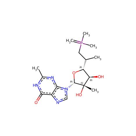 C=P(C)(C)CC(C)[C@H]1O[C@@H](n2cnc3c(=O)[nH]c(C)nc32)[C@@](C)(O)[C@@H]1O